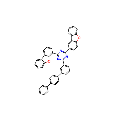 c1ccc(-c2ccc(-c3cccc(-c4nc(-c5ccc6oc7ccccc7c6c5)nc(-c5cccc6c5oc5ccccc56)n4)c3)cc2)cc1